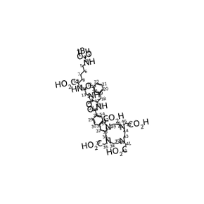 CC(C)(C)OC(=O)NCCCCC(NC(=O)CNC(=O)C(Cc1ccccc1)NC(=O)c1ccc(CC2CN(CC(=O)O)CCN(CC(=O)O)CCN(CC(=O)O)CCN2CC(=O)O)cc1)C(=O)O